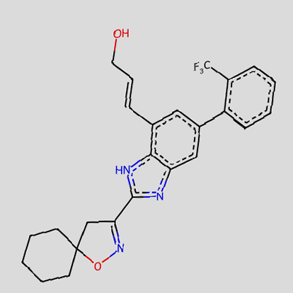 OCC=Cc1cc(-c2ccccc2C(F)(F)F)cc2nc(C3=NOC4(CCCCC4)C3)[nH]c12